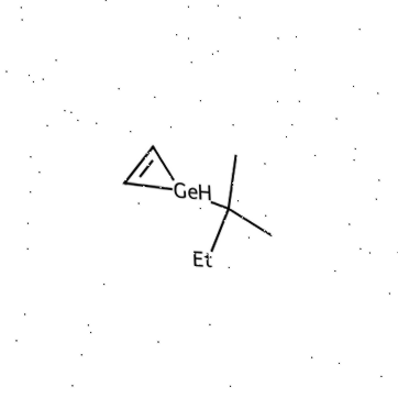 CC[C](C)(C)[GeH]1[CH]=[CH]1